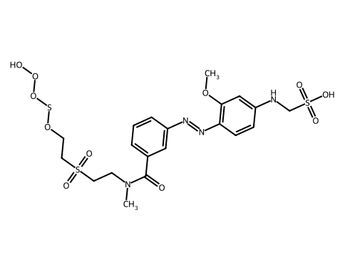 COc1cc(NCS(=O)(=O)O)ccc1/N=N/c1cccc(C(=O)N(C)CCS(=O)(=O)CCOSOOO)c1